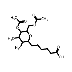 CC(=O)OCC1OC(CCCCCC(=O)O)C(C)C(C)C1OC(C)=O